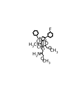 COCC(=O)N(CC[C@H](N)COC)[C@@H](c1nc(-c2cccc(F)c2)cn1Cc1ccccc1)C(C)(C)C